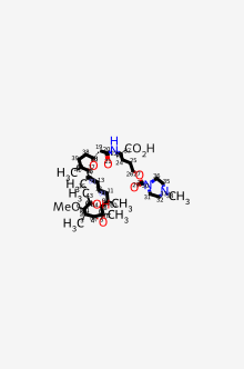 CO[C@H]([C@@H](C)[C@H]1O[C@]1(C)C[C@H](C)/C=C/C=C(\C)[C@H]1O[C@@H](CC(=O)N[C@@H](CCCOC(=O)N2CCN(C)CC2)C(=O)O)CC[C@@H]1C)[C@@H](C)O